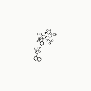 CCN(COc1cccc2ccccc12)C(=O)OCc1ccc(O[C@@H]2O[C@H](C(=O)OC)[C@@H](CC(=O)O)[C@H](CC(=O)O)[C@H]2CC(=O)O)c([N+](=O)[O-])c1